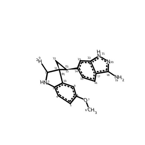 [2H]C1Nc2ccc(OC)cc2[C@]12C[C@H]2c1ccc2c(N)n[nH]c2c1